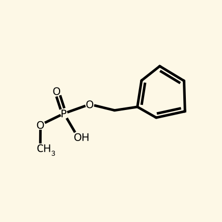 COP(=O)(O)OCc1ccccc1